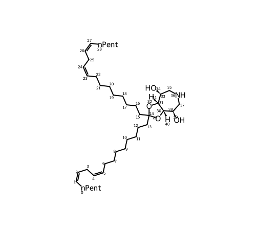 CCCCC/C=C\C/C=C\CCCCCCCCC1(CCCCCCCC/C=C\C/C=C\CCCCC)O[C@@H]2[C@H](O1)[C@@H](O)CNC[C@H]2O